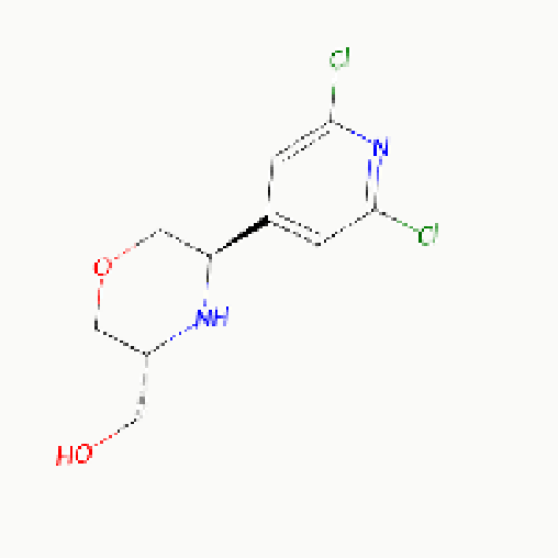 OC[C@@H]1COC[C@@H](c2cc(Cl)nc(Cl)c2)N1